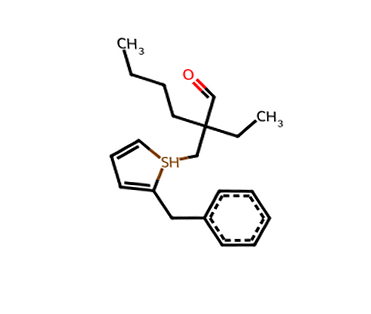 CCCCC(C=O)(CC)C[SH]1C=CC=C1Cc1ccccc1